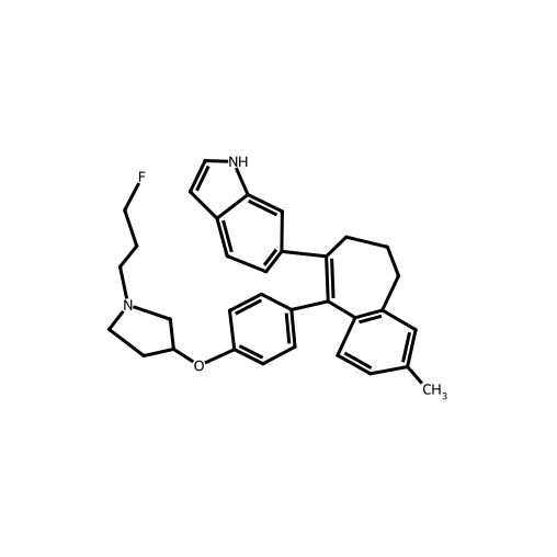 Cc1ccc2c(c1)CCCC(c1ccc3cc[nH]c3c1)=C2c1ccc(OC2CCN(CCCF)C2)cc1